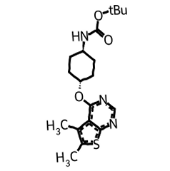 Cc1sc2ncnc(O[C@H]3CC[C@H](NC(=O)OC(C)(C)C)CC3)c2c1C